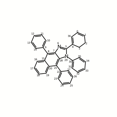 C1=CCCC(c2nc3c(-c4ccccc4)c4ccccc4c(-c4ccccc4)c3n2-c2ccccc2)=C1